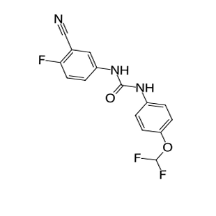 N#Cc1cc(NC(=O)Nc2ccc(OC(F)F)cc2)ccc1F